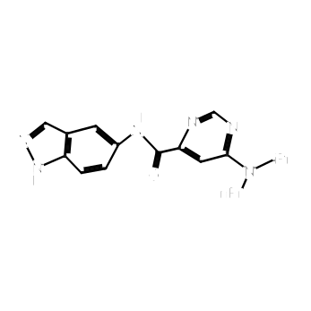 CCCN(c1cc(C(=O)Nc2ccc3[nH]ncc3c2)ncn1)C(C)C